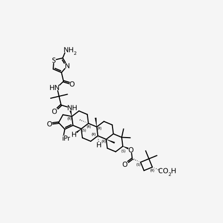 CC(C)C1=C2[C@H]3CC[C@@H]4[C@@]5(C)CC[C@H](OC(=O)[C@H]6C[C@@H](C(=O)O)C6(C)C)C(C)(C)C5CC[C@@]4(C)[C@]3(C)CC[C@@]2(NC(=O)C(C)(C)NC(=O)c2csc(N)n2)CC1=O